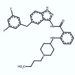 O=C(O)CCCN1CCC(Nc2ccccc2C(=O)Nc2n[nH]c3ccc(Cc4cc(F)cc(F)c4)cc23)CC1